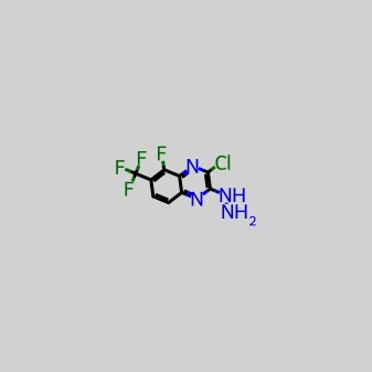 NNc1nc2ccc(C(F)(F)F)c(F)c2nc1Cl